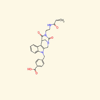 C=CC(=O)NCCN1C(=O)C2CN(Cc3c2c2ccccc2n3Cc2ccc(C(=O)O)cc2)C1=O